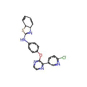 Clc1ccc(-c2nccnc2Oc2ccc(NC3=NC4C=CC=CC4S3)cc2)cn1